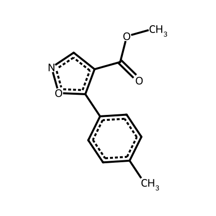 COC(=O)c1cnoc1-c1ccc(C)cc1